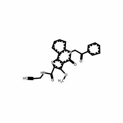 C#CCNC(=O)c1sc2c(c1OC)c(=O)n(CC(=O)c1ccccc1)c1ccccc21